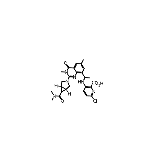 Cc1cc(C(C)Nc2ccc(Cl)nc2C(=O)O)c2nc(N3C[C@@H]4C(C(=O)N(C)C)[C@@H]4C3)n(C)c(=O)c2c1